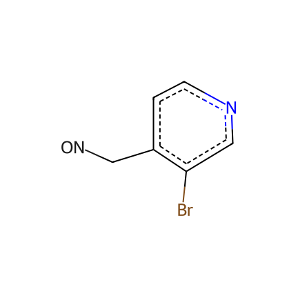 O=NCc1ccncc1Br